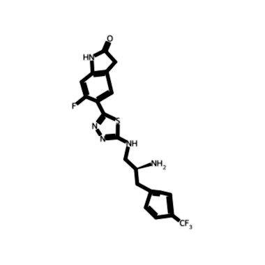 N[C@H](CNc1nnc(-c2cc3c(cc2F)NC(=O)C3)s1)Cc1ccc(C(F)(F)F)cc1